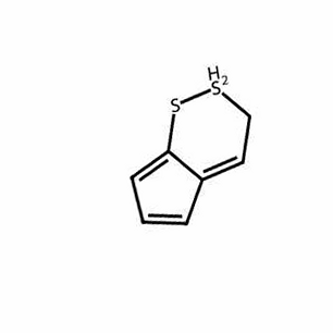 C1=CC2=CC[SH2]SC2=C1